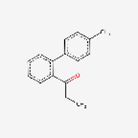 CCC(=O)c1ccccc1-c1ccc(C)cc1